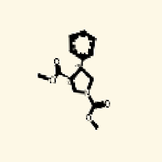 COC(=O)[C@@H]1CN(C(=O)OC)C[C@@H]1c1ccccc1